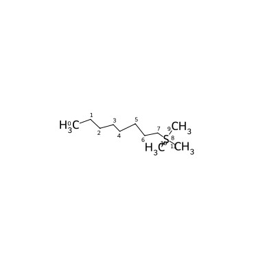 CCCCCCCCS(C)(C)C